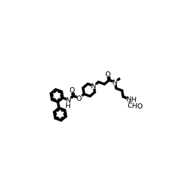 CN(CCCNC=O)C(=O)CCN1CCC(OC(=O)Nc2ccccc2-c2ccccc2)CC1